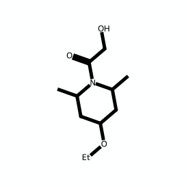 CCOC1CC(C)N(C(=O)CO)C(C)C1